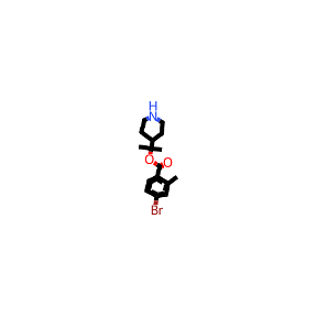 Cc1cc(Br)ccc1C(=O)OC(C)(C)C1CCNCC1